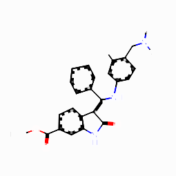 COC(=O)c1ccc2c(c1)NC(=O)/C2=C(\Nc1ccc(CN(C)C)c(C)c1)c1ccccc1